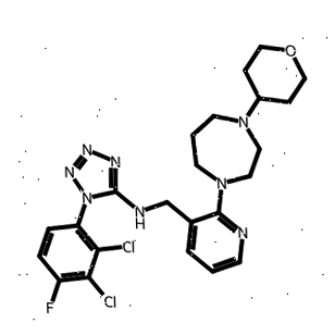 Fc1ccc(-n2nnnc2NCc2cccnc2N2CCCN(C3CCOCC3)CC2)c(Cl)c1Cl